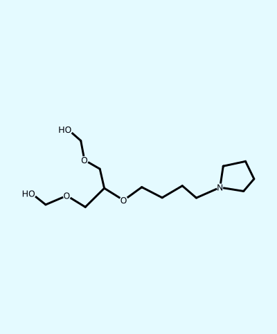 OCOCC(COCO)OCCCCN1CCCC1